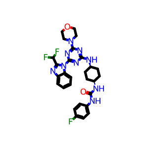 O=C(Nc1ccc(F)cc1)N[C@H]1CC[C@H](Nc2nc(N3CCOCC3)nc(-n3c(C(F)F)nc4ccccc43)n2)CC1